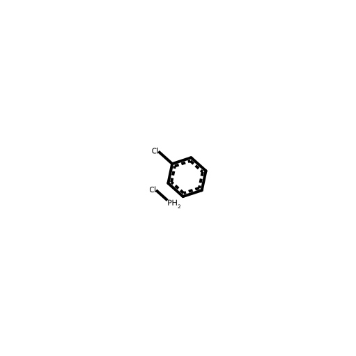 Clc1ccccc1.PCl